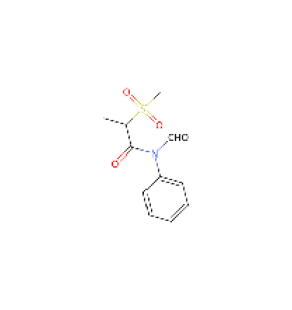 CC(C(=O)N(C=O)c1ccccc1)S(C)(=O)=O